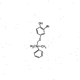 CC(C)c1cc(SC[Si](C)(C)c2ccccc2)ccc1O